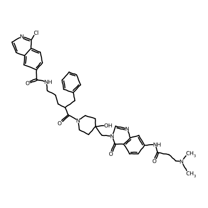 CN(C)CCC(=O)Nc1ccc2c(=O)n(CC3(O)CCN(C(=O)C(CCCNC(=O)c4ccc5c(Cl)nccc5c4)Cc4ccccc4)CC3)cnc2c1